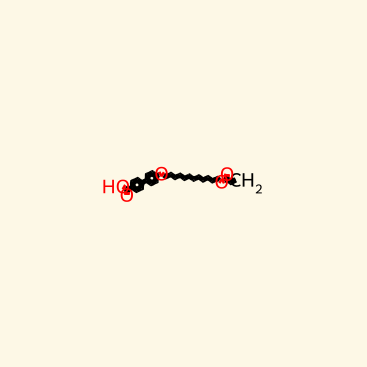 C=CC(=O)OCCCCCCCCCCCCOc1ccc(-c2ccc(C(=O)O)cc2)cc1